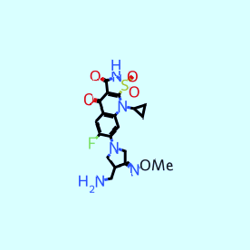 CO/N=C1\CN(c2cc3c(cc2F)c(=O)c2c(n3C3CC3)S(=O)(=O)NC2=O)CC1CN